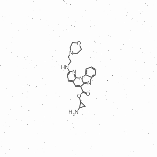 NC1CC1OC(=O)c1cc2ccc(NCCN3CCOCC3)nc2n2c1nc1ccccc12